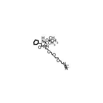 CC(C)(C)OC(=O)N[C@H](C(=O)NCCOCCOCCOCCN=[N+]=[N-])c1ccccc1